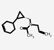 C=CCN(C[C@H]1CC1C1CC=CCC1)C(C)=O